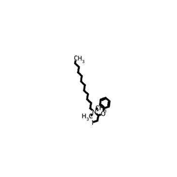 CCCCCCCCCCCC[N+](C)(C)C(CI)Oc1ccccc1